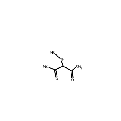 CC(=O)C(NS)C(=O)O